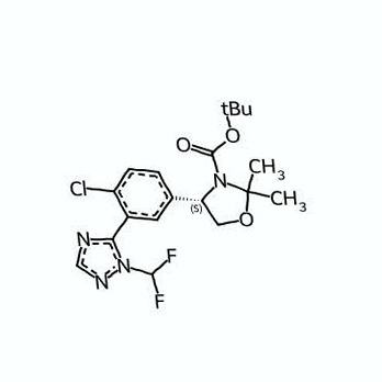 CC(C)(C)OC(=O)N1[C@@H](c2ccc(Cl)c(-c3ncnn3C(F)F)c2)COC1(C)C